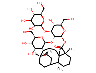 C=C1CC2CC[C@@H]1CCC[C@@H]1[C@](C)(C(=O)O[C@@H]3O[C@H](CO)[C@@H](O)[C@H](O[C@@H]4O[C@H](CO)[C@@H](O)[C@H](O)[C@H]4O)[C@H]3O[C@@H]3O[C@H](CO)[C@@H](O)[C@H](O)[C@H]3O)CCC[C@@]21C